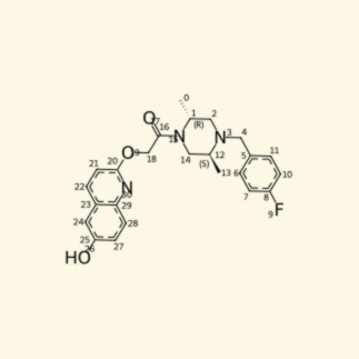 C[C@@H]1CN(Cc2ccc(F)cc2)[C@@H](C)CN1C(=O)COc1ccc2cc(O)ccc2n1